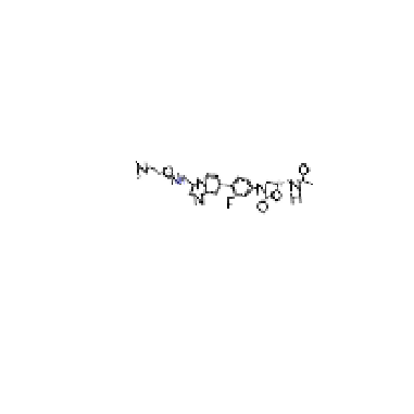 CC(=O)NC[C@H]1CN(c2ccc(-c3ccn4c(/C=N/OCCN(C)C)cnc4c3)c(F)c2)C(=O)O1